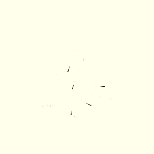 CC(=O)NC[C@H](OC(C)=O)[C@@H]1CC(=O)[C@@]2(C)CC[C@H]3[C@@H](CCC4=CC(=O)C=C(C)[C@@]43C)[C@H]12